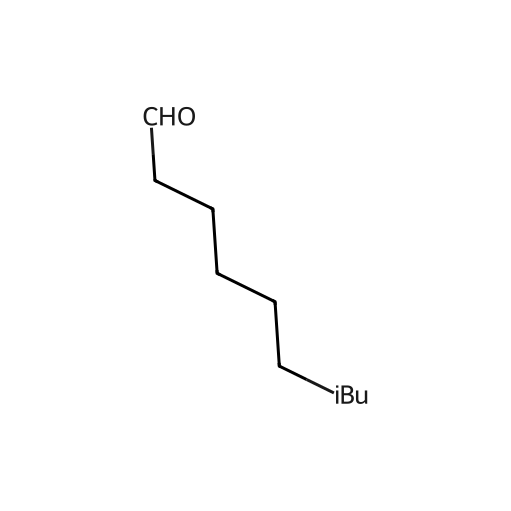 CCC(C)CCCCCC=O